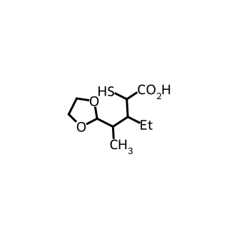 CCC(C(S)C(=O)O)C(C)C1OCCO1